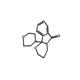 O=C1c2ccccc2C2(N3CCOCC3)OCCCN12